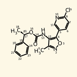 Cc1noc(-c2ccc(Cl)nc2)c1NC(=O)O[C@H](C)c1ccccc1